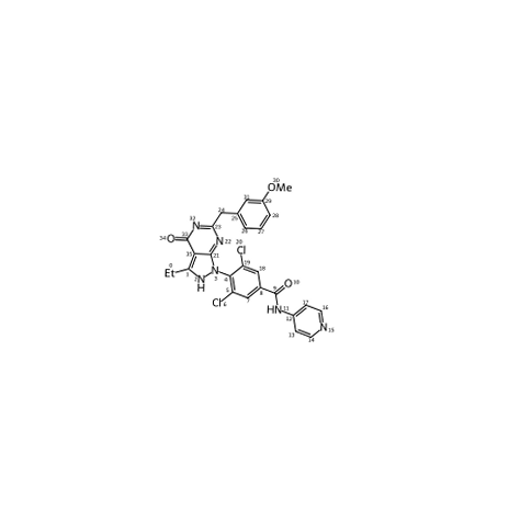 CCc1[nH]n(-c2c(Cl)cc(C(=O)Nc3ccncc3)cc2Cl)c2nc(Cc3cccc(OC)c3)nc(=O)c1-2